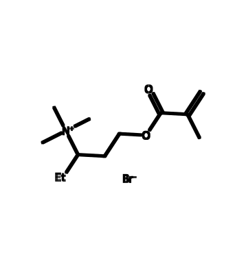 C=C(C)C(=O)OCCC(CC)[N+](C)(C)C.[Br-]